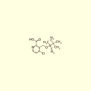 CC(C)(C)[Si](C)(C)OCc1c(Cl)ccnc1C(=O)O